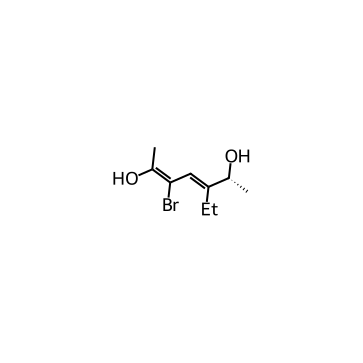 CC/C(=C\C(Br)=C(/C)O)[C@@H](C)O